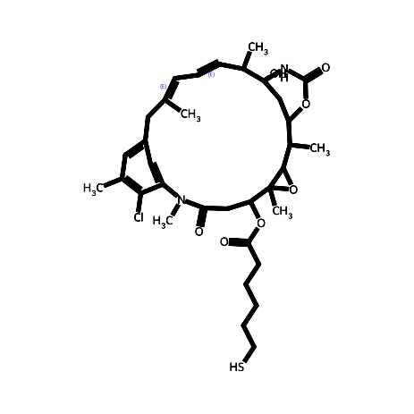 C/C1=C\C=C\C(C)C2(O)CC(OC(=O)N2)C(C)C2OC2(C)C(OC(=O)CCCCCS)CC(=O)N(C)c2cc(cc(C)c2Cl)C1